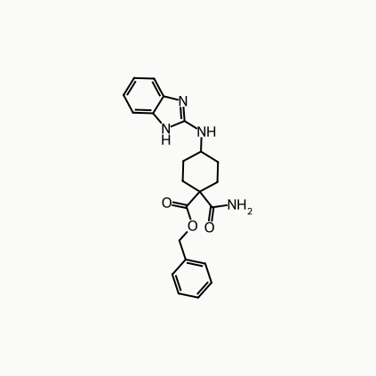 NC(=O)C1(C(=O)OCc2ccccc2)CCC(Nc2nc3ccccc3[nH]2)CC1